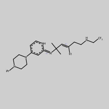 CC/C(=C\C(C)(C)/N=c1/cc(N2CCN(C(C)C)CC2)cc[nH]1)CCNCC(F)(F)F